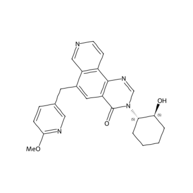 COc1ccc(Cc2cc3c(=O)n([C@H]4CCCC[C@@H]4O)cnc3c3ccncc23)cn1